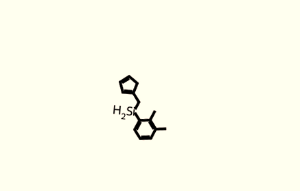 Cc1cccc([SiH2]CC2=CC=CC2)c1C